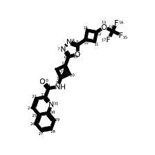 O=C(NC12CC(c3nnc(C4CC(OC(F)(F)F)C4)o3)(C1)C2)c1ccc2ccccc2n1